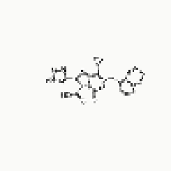 O=C(O)c1c(-c2c[nH]nn2)sc2c(C3CC3)c(Cc3cccc4ccccc34)cc(=O)n12